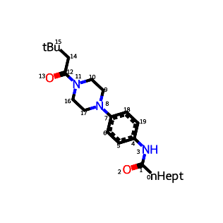 CCCCCCCC(=O)Nc1ccc(N2CCN(C(=O)CC(C)(C)C)CC2)cc1